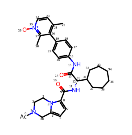 CC(=O)N1CCn2c(ccc2C(=O)N[C@H](C(=O)Nc2ccc(-c3c(C)cc[n+]([O-])c3C)cc2)C2CCCCCC2)C1